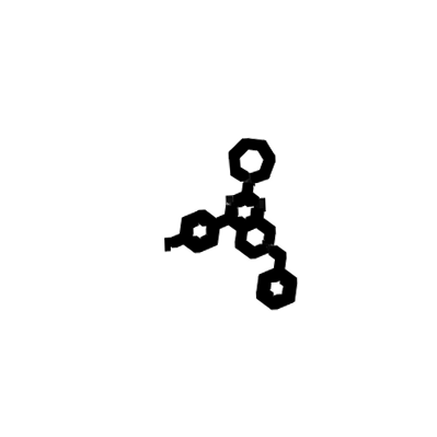 Fc1ccc(-c2nc(N3CCCCCC3)nc3c2CCN(Cc2ccccc2)C3)cc1